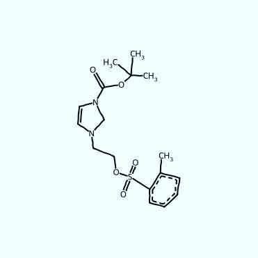 Cc1ccccc1S(=O)(=O)OCCN1C=CN(C(=O)OC(C)(C)C)C1